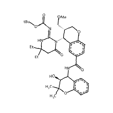 CCC1(CC)CC(=O)N([C@H]2c3cc(C(=O)NC4c5ccccc5OC(C)(C)[C@H]4O)ccc3OC[C@H]2COC)/C(=N/C(=O)OC(C)(C)C)N1